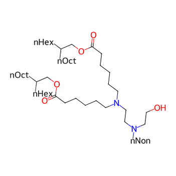 CCCCCCCCCN(CCO)CCN(CCCCCC(=O)OCC(CCCCCC)CCCCCCCC)CCCCCC(=O)OCC(CCCCCC)CCCCCCCC